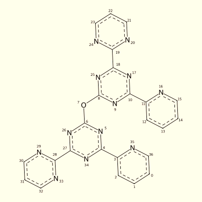 c1ccc(-c2nc(Oc3nc(-c4ccccn4)nc(-c4ncccn4)n3)nc(-c3ncccn3)n2)nc1